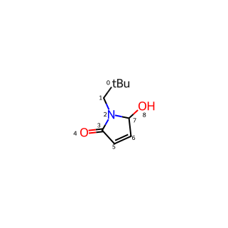 CC(C)(C)CN1C(=O)C=CC1O